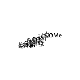 COc1ccc(Cc2ccc(-c3ccccc3SC3=C(C(=O)O)N4C(=O)[C@@H](NC(=O)Cc5ccccc5)[C@H]4SC3)s2)cc1